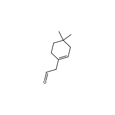 CC1(C)CC=C(C[C]=O)CC1